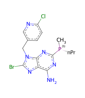 CCC[P@@](C)c1nc(N)c2nc(Br)n(Cc3ccc(Cl)nc3)c2n1